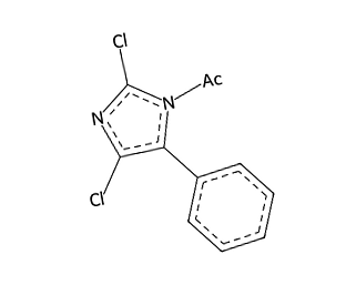 CC(=O)n1c(Cl)nc(Cl)c1-c1ccccc1